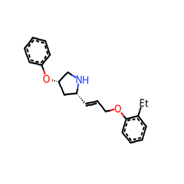 CCc1ccccc1OC/C=C/[C@@H]1C[C@H](Oc2ccccc2)CN1